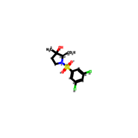 CC1(O)CCN(S(=O)(=O)c2cc(Cl)cc(Cl)c2)[C@@H]1C(=O)O